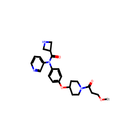 CCOCCC(=O)N1CCC(Oc2ccc(N(C(=O)C3CNC3)c3cccnc3)cc2)CC1